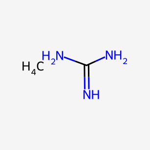 C.N=C(N)N